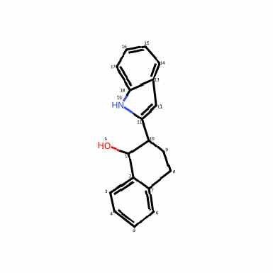 OC1c2ccccc2CCC1c1cc2ccccc2[nH]1